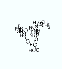 C[Si](C)(C)CCOCn1nc(-c2ccc(NS(=O)(=O)C(F)F)c(OCCc3ccc(F)cc3)c2)c(C#N)c1Nc1ccc(OCc2ccc(C(=O)O)cc2)cn1